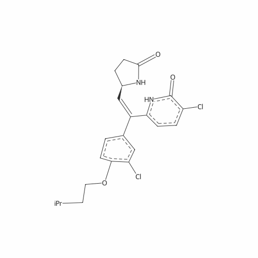 CC(C)CCOc1ccc(/C(=C/[C@H]2CCC(=O)N2)c2ccc(Cl)c(=O)[nH]2)cc1Cl